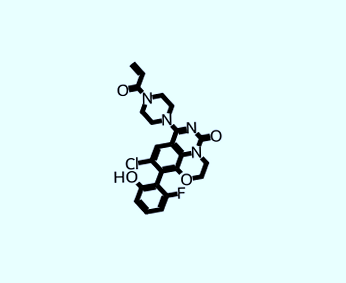 C=CC(=O)N1CCN(c2nc(=O)n3c4c(c(-c5c(O)cccc5F)c(Cl)cc24)OCC3)CC1